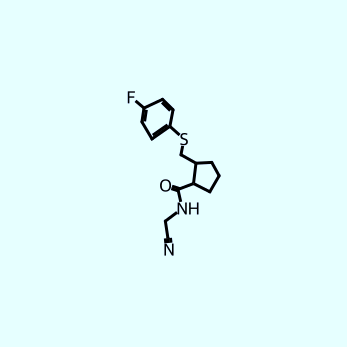 N#CCNC(=O)C1CCCC1CSc1ccc(F)cc1